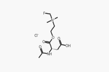 CC(=O)N[C@@H](CC(=O)O)C(=O)OCC[N+](C)(C)CF.[Cl-]